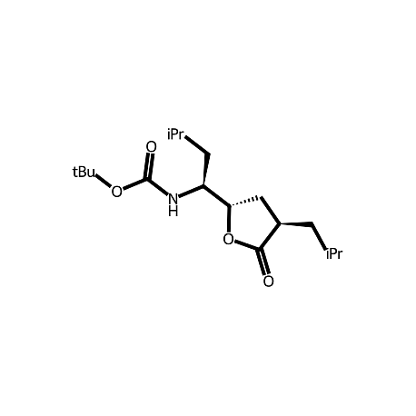 CC(C)C[C@@H]1C[C@@H]([C@H](CC(C)C)NC(=O)OC(C)(C)C)OC1=O